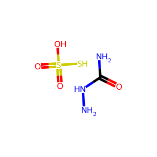 NNC(N)=O.O=S(=O)(O)S